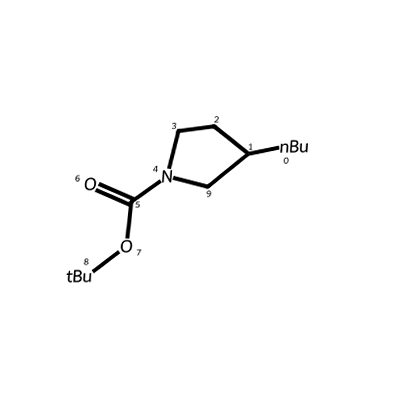 CCCCC1CCN(C(=O)OC(C)(C)C)C1